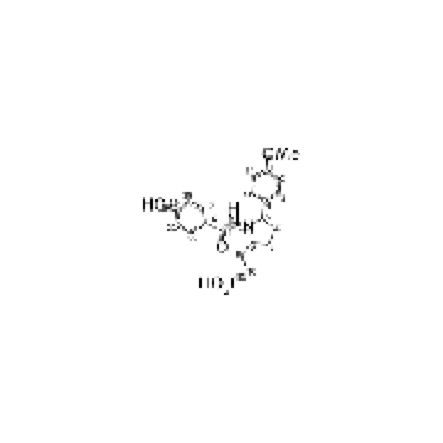 COc1ccc(C2CCC(CCC(=O)O)N2NC(=O)c2ccc(O)cc2)cc1